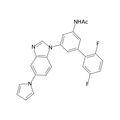 CC(=O)Nc1cc(-c2cc(F)ccc2F)cc(-n2cnc3cc(-n4cccc4)ccc32)c1